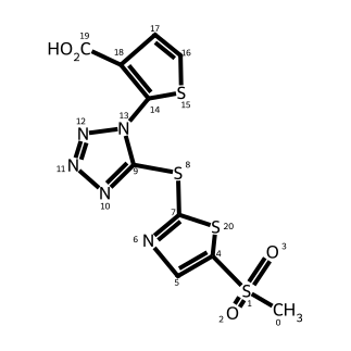 CS(=O)(=O)c1cnc(Sc2nnnn2-c2sccc2C(=O)O)s1